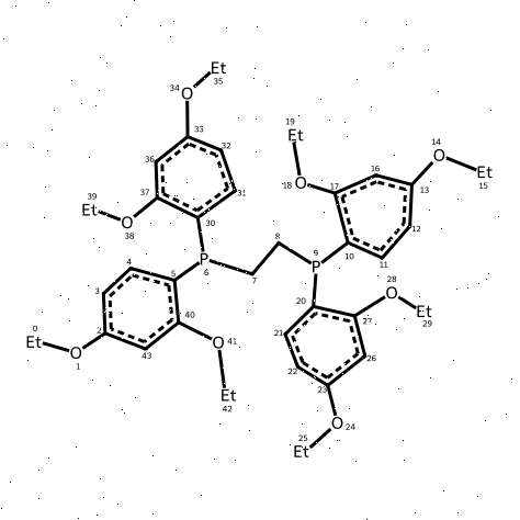 CCOc1ccc(P(CCP(c2ccc(OCC)cc2OCC)c2ccc(OCC)cc2OCC)c2ccc(OCC)cc2OCC)c(OCC)c1